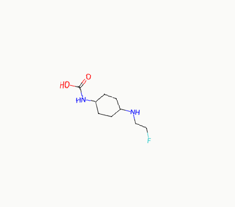 O=C(O)NC1CCC(NCCF)CC1